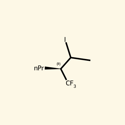 CCC[C@@H](C(C)I)C(F)(F)F